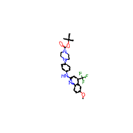 COc1ccc2nc(Nc3ccc(N4CCN(C(=O)OC(C)(C)C)CC4)cc3)cc(C(F)(F)F)c2c1